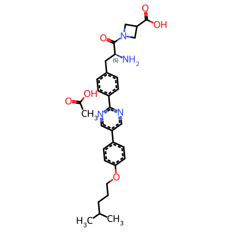 CC(=O)O.CC(C)CCCOc1ccc(-c2cnc(-c3ccc(C[C@H](N)C(=O)N4CC(C(=O)O)C4)cc3)nc2)cc1